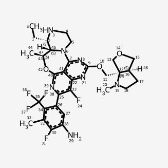 CC[C@@H]1NCCN2c3nc(OC[C@]45COC[C@H]4CCN5C)nc4c(F)c(-c5cc(N)c(F)c(C)c5C(F)(F)F)nc(c34)O[C@@H](C)[C@H]12